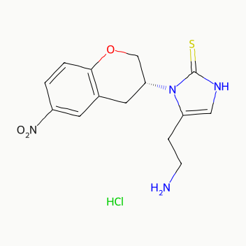 Cl.NCCc1c[nH]c(=S)n1[C@H]1COc2ccc([N+](=O)[O-])cc2C1